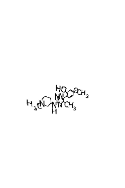 COc1ccc(-c2nnc(N[C@@H]3CCCN(C)C3)nc2C)c(O)c1